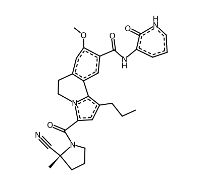 CCCc1cc(C(=O)N2CCC[C@]2(C)C#N)n2c1-c1cc(C(=O)Nc3ccc[nH]c3=O)c(OC)cc1CC2